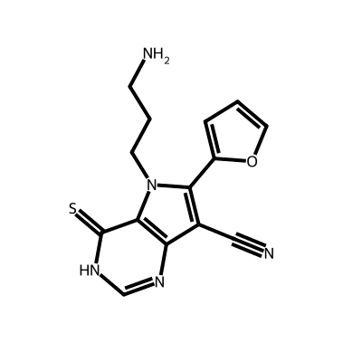 N#Cc1c(-c2ccco2)n(CCCN)c2c(=S)[nH]cnc12